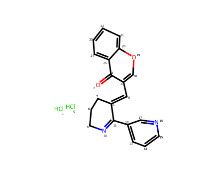 Cl.Cl.O=c1c(C=C2CCCN=C2c2cccnc2)coc2ccccc12